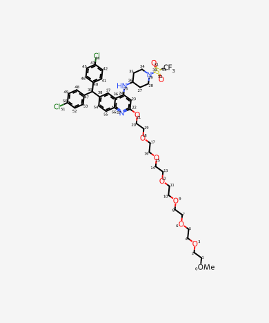 COCCOCCOCCOCCOCCOCCOCCOc1cc(NC2CCN(S(=O)(=O)C(F)(F)F)CC2)c2cc(C(c3ccc(Cl)cc3)c3ccc(Cl)cc3)ccc2n1